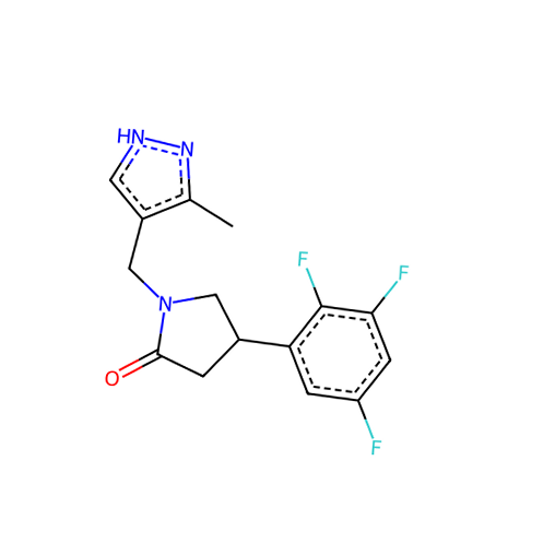 Cc1n[nH]cc1CN1CC(c2cc(F)cc(F)c2F)CC1=O